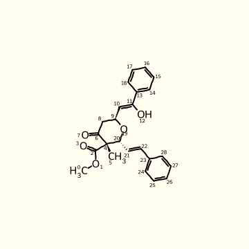 COC(=O)[C@]1(C)C(=O)C[C@@H](/C=C(\O)c2ccccc2)O[C@@H]1/C=C/c1ccccc1